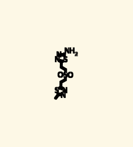 Cc1nnc(CCS(=O)(=O)CCc2nnc(N)s2)s1